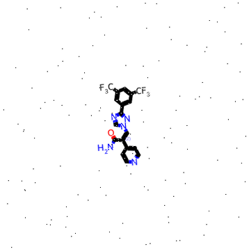 NC(=O)/C(=C\n1cnc(-c2cc(C(F)(F)F)cc(C(F)(F)F)c2)n1)c1ccncc1